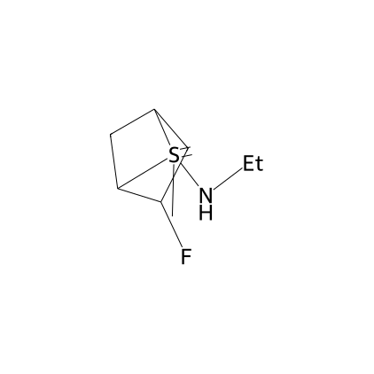 C=S1(C)(NCC)C2CC(F)C1C2